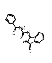 O=C(NC(=S)/N=C1\NC(=O)c2ccccc21)c1ccccc1